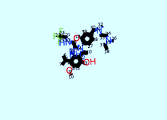 C=C(c1cc(C(C)C)c(OC)cc1O)N(/C(=N\N)C(=O)NCC(F)(F)F)c1ccc(CN(C)CCN(C)CC)cc1